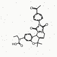 CCN(C(=O)O)c1ccc2c(c1)OC(C)(C)C1=CCn3c(=O)n(-c4ccc(C(C)=O)cc4)c(=O)n3C12